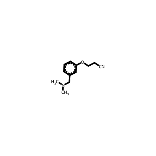 CN(C)Cc1cccc(OCCC#N)c1